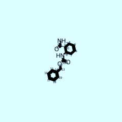 NC(=O)[C@@H]1CC=CC[C@H]1NC(=O)OCc1ccccc1